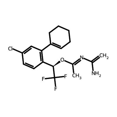 C=C(N)/N=C(\C)O[C@H](c1ccc(Cl)cc1C1=CCCCC1)C(F)(F)F